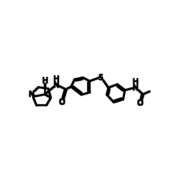 CC(=O)Nc1cccc(Sc2ccc(C(=O)N[C@H]3CN4CCC3CC4)cc2)c1